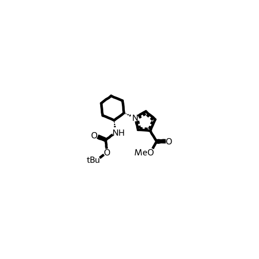 COC(=O)c1ccn([C@H]2CCCC[C@H]2NC(=O)OC(C)(C)C)c1